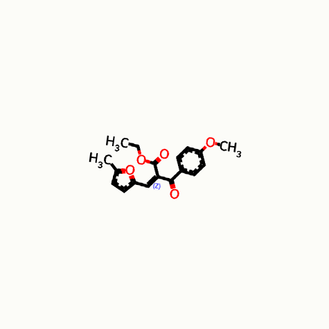 CCOC(=O)/C(=C\c1ccc(C)o1)C(=O)c1ccc(OC)cc1